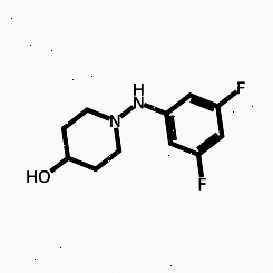 OC1CCN(Nc2cc(F)cc(F)c2)CC1